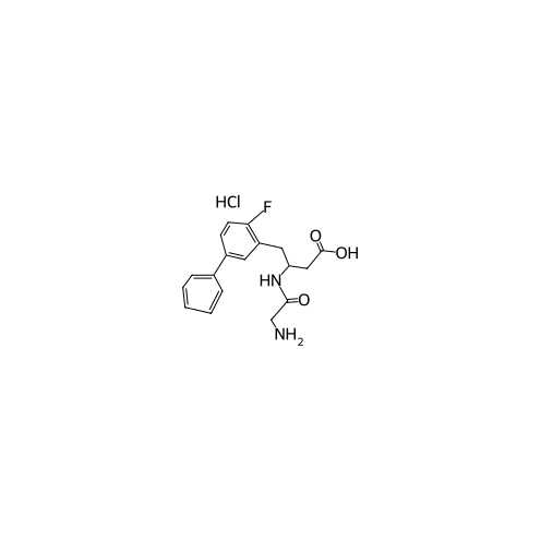 Cl.NCC(=O)NC(CC(=O)O)Cc1cc(-c2ccccc2)ccc1F